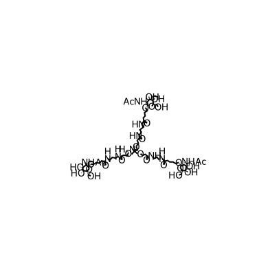 CC(=O)N[C@H]1[C@H](OCCCCC(=O)NCCCNC(=O)CCOCC(N)(COCCC(=O)NCCCNC(=O)CCCCO[C@H]2O[C@H](CO)[C@H](O)[C@H](O)[C@H]2NC(C)=O)COCCC(=O)NCCCNC(=O)CCCCO[C@H]2O[C@H](CO)[C@H](O)[C@H](O)[C@H]2NC(C)=O)O[C@H](CO)[C@H](O)[C@@H]1O